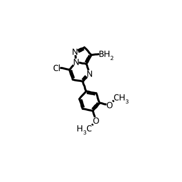 Bc1cnn2c(Cl)cc(-c3ccc(OC)c(OC)c3)nc12